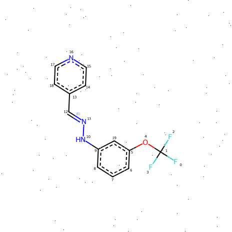 FC(F)(F)Oc1cccc(N/N=C/c2ccncc2)c1